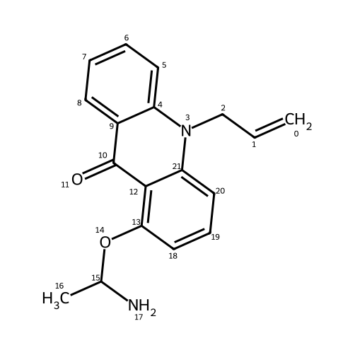 C=CCn1c2ccccc2c(=O)c2c(OC(C)N)cccc21